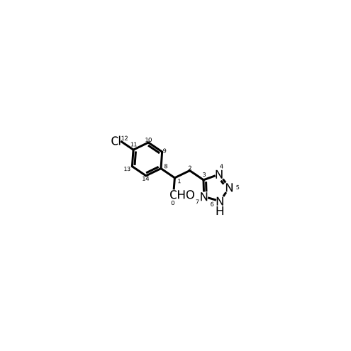 O=CC(Cc1nn[nH]n1)c1ccc(Cl)cc1